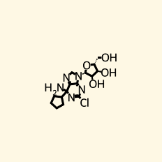 NC1(C2CCCC2)N=C(Cl)N=C2C1=NCN2[C@@H]1O[C@H](CO)[C@@H](O)[C@H]1O